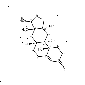 C[C@]12C[C@H]3CCC4=CC(=O)CC[C@@]4(C)[C@@H]3C[C@@H]1CC[C@@H]2O